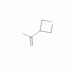 CC(=O)C1C[N]C1